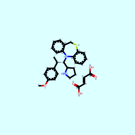 COc1ccc(C(C)[C@@H](C2CCCN2)N2c3ccccc3CSc3ccccc32)cc1.O=C(O)C=CC(=O)O